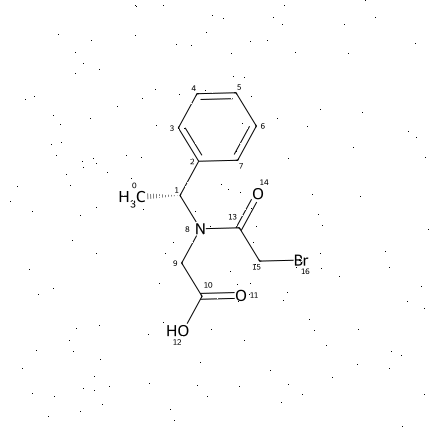 C[C@H](c1ccccc1)N(CC(=O)O)C(=O)CBr